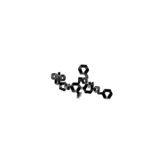 CS(=O)(=O)O[C@@H]1CCN(c2cc(F)c(-c3ccc(OCc4ccccc4)nc3OCc3ccccc3)c(F)c2)C1